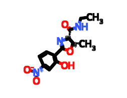 CCNC(=O)[C@H]1N=C(c2ccc([N+](=O)[O-])cc2O)O[C@H]1C